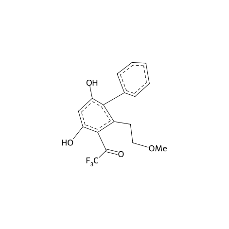 COCCc1c(C(=O)C(F)(F)F)c(O)cc(O)c1-c1ccccc1